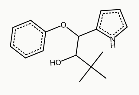 CC(C)(C)C(O)C(Oc1ccccc1)c1ccc[nH]1